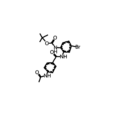 CC(=O)Nc1ccc(C(=O)Nc2cc(Br)ccc2NC(=O)OC(C)(C)C)cc1